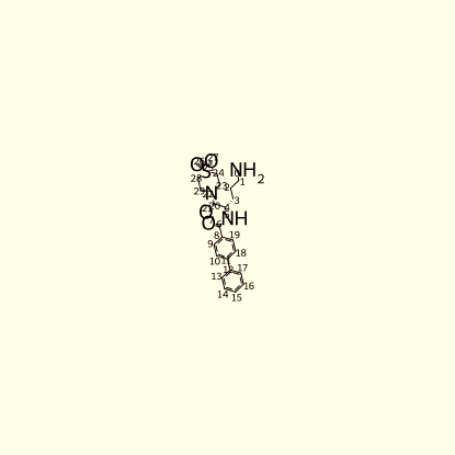 NCCC[C@H](NC(=O)c1ccc(-c2ccccc2)cc1)C(=O)N1CCS(=O)(=O)CC1